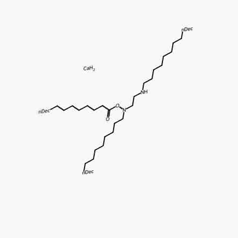 CCCCCCCCCCCCCCCCCCNCCN(CCCCCCCCCCCCCCCCCC)OC(=O)CCCCCCCCCCCCCCCCC.[CaH2]